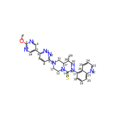 COc1ncc(-c2ccc(N3CCN(C(=S)Nc4cccc5ncccc45)C(C(C)C)C3)nn2)cn1